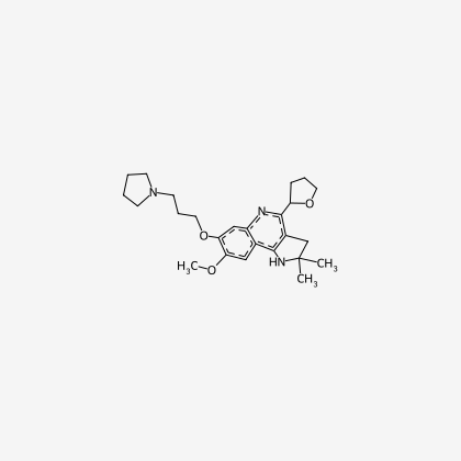 COc1cc2c3c(c(C4CCCO4)nc2cc1OCCCN1CCCC1)CC(C)(C)N3